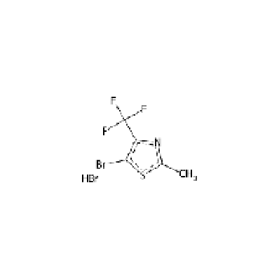 Br.Cc1nc(C(F)(F)F)c(Br)s1